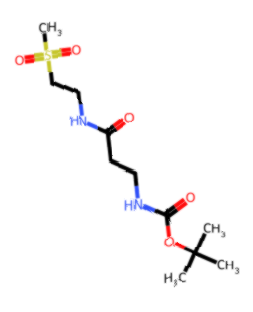 CC(C)(C)OC(=O)NCCC(=O)NCCS(C)(=O)=O